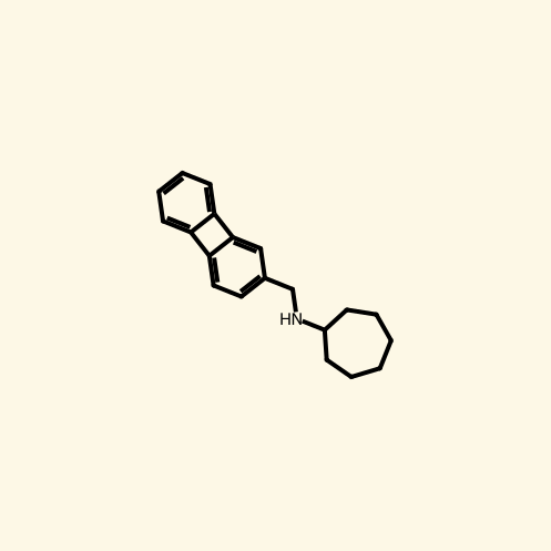 c1ccc2c(c1)-c1ccc(CNC3CCCCCC3)cc1-2